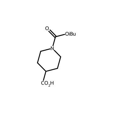 CC(C)COC(=O)N1CCC(C(=O)O)CC1